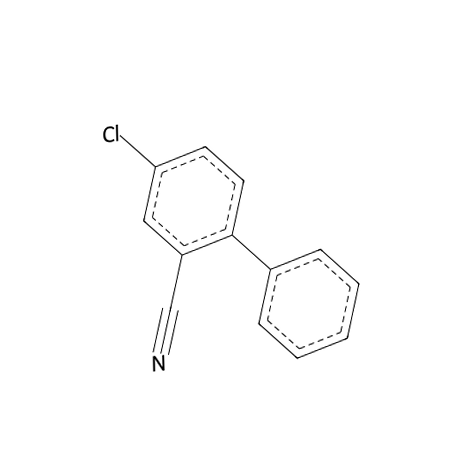 N#Cc1cc(Cl)ccc1-c1ccccc1